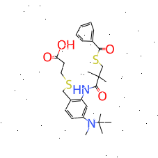 CN(c1ccc(CSCCC(=O)O)c(NC(=O)C(C)(C)CSC(=O)c2ccccc2)c1)C(C)(C)C